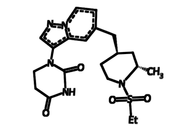 CCS(=O)(=O)N1CC[C@@H](Cc2ccn3ncc(N4CCC(=O)NC4=O)c3c2)C[C@@H]1C